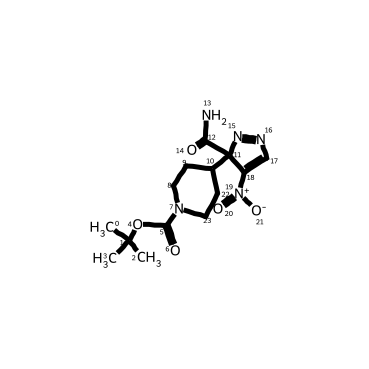 CC(C)(C)OC(=O)N1CCC(C2(C(N)=O)N=NC=C2[N+](=O)[O-])CC1